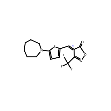 O=C1ON=C(C(F)(F)F)/C1=C\c1ccc(N2CCCCCC2)s1